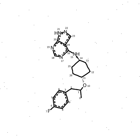 CC(Cc1ccc(F)cc1)O[C@H]1CC[C@H](Nc2ncnc3[nH]ncc23)CC1